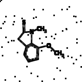 COc1cccc2c1N(C)C(=S)C2